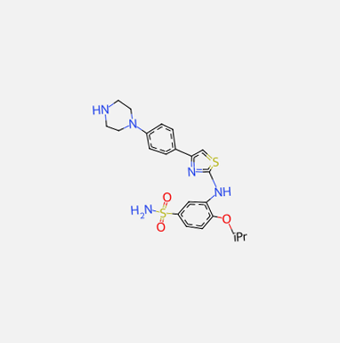 CC(C)Oc1ccc(S(N)(=O)=O)cc1Nc1nc(-c2ccc(N3CCNCC3)cc2)cs1